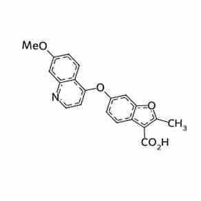 COc1ccc2c(Oc3ccc4c(C(=O)O)c(C)oc4c3)ccnc2c1